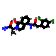 C[C@H](C(N)=O)n1ccc2c(NC(=O)Cc3ccc(Cl)cc3F)cccc2c1=O